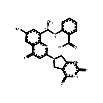 Cc1cc([C@@H](C)Nc2ccccc2C(=O)O)c2oc(N3Cc4[nH]c(=O)[nH]c(=O)c4C3)cc(=O)c2c1